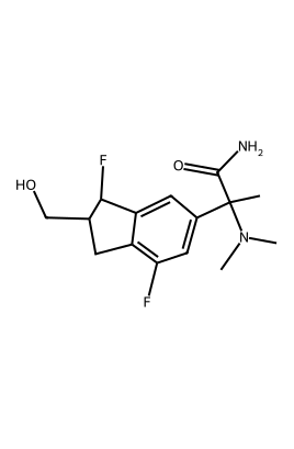 CN(C)C(C)(C(N)=O)c1cc(F)c2c(c1)C(F)C(CO)C2